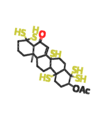 CC(=O)OC1CCC2(S)C3CCC4C(=CC(=O)C5C(S)(S)CCCC45C)C3(S)CCC2C1(S)S